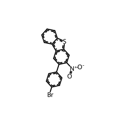 O=[N+]([O-])c1cc2sc3ccccc3c2cc1-c1ccc(Br)cc1